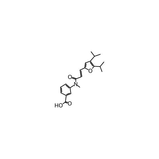 CC(C)c1cc(/C=C/C(=O)N(C)c2cccc(C(=O)O)c2)oc1C(C)C